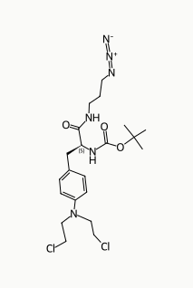 CC(C)(C)OC(=O)N[C@@H](Cc1ccc(N(CCCl)CCCl)cc1)C(=O)NCCCN=[N+]=[N-]